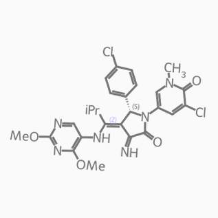 COc1ncc(N/C(=C2\C(=N)C(=O)N(c3cc(Cl)c(=O)n(C)c3)[C@H]2c2ccc(Cl)cc2)C(C)C)c(OC)n1